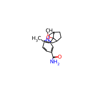 CCN1CC2CCC(C1)C2(OC)c1cccc(C(N)=O)c1